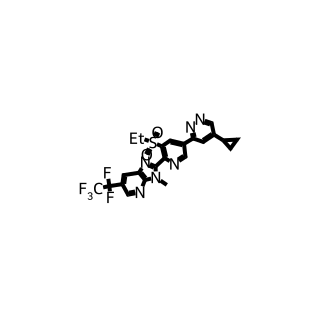 CCS(=O)(=O)c1cc(-c2cc(C3CC3)cnn2)cnc1-c1nc2cc(C(F)(F)C(F)(F)F)cnc2n1C